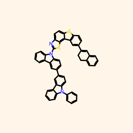 C1=C(c2ccc3sc4ccc5nc(-n6c7ccccc7c7cc(-c8ccc9c(c8)c8ccccc8n9-c8ccccc8)ccc76)sc5c4c3c2)CCc2ccccc21